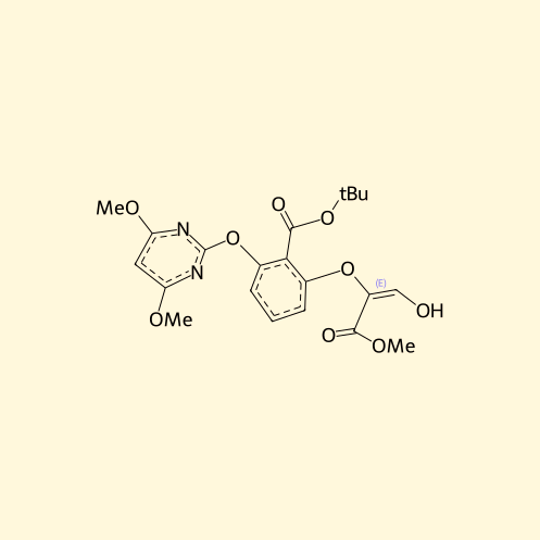 COC(=O)/C(=C\O)Oc1cccc(Oc2nc(OC)cc(OC)n2)c1C(=O)OC(C)(C)C